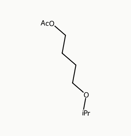 CC(=O)OCCCCOC(C)C